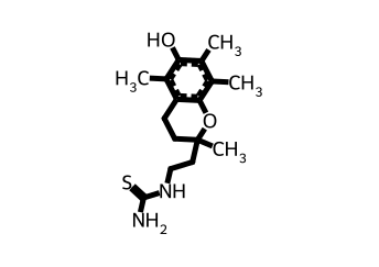 Cc1c(C)c2c(c(C)c1O)CCC(C)(CCNC(N)=S)O2